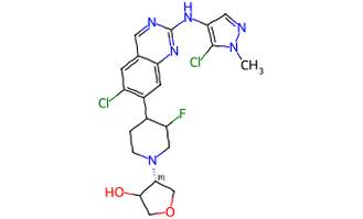 Cn1ncc(Nc2ncc3cc(Cl)c(C4CCN([C@@H]5COCC5O)CC4F)cc3n2)c1Cl